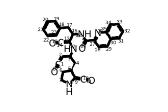 O=C=CC(C[C@@H]1CCNC1=C=O)NC(=C=O)C(Cc1ccccc1)NC(=O)c1ccc2ccccc2n1